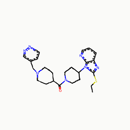 CCSc1nc2cccnc2n1C1CCN(C(=O)C2CCN(Cc3ccnnc3)CC2)CC1